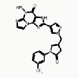 CCCn1c(=O)c2[nH]c(-c3cnn(CC4CC(=O)N(c5cccc(C(F)(F)F)c5)C4)c3)nc2n2ccnc12